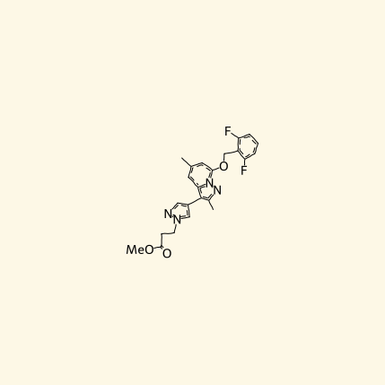 COC(=O)CCn1cc(-c2c(C)nn3c(OCc4c(F)cccc4F)cc(C)cc23)cn1